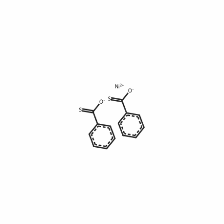 [Ni+2].[O-]C(=S)c1ccccc1.[O-]C(=S)c1ccccc1